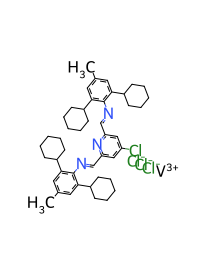 Cc1cc(C2CCCCC2)c(N=Cc2cc(Cl)cc(C=Nc3c(C4CCCCC4)cc(C)cc3C3CCCCC3)n2)c(C2CCCCC2)c1.[Cl-].[Cl-].[Cl-].[V+3]